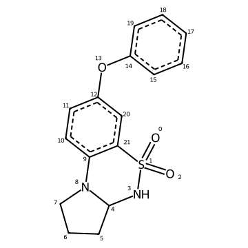 O=S1(=O)NC2CCCN2c2ccc(Oc3ccccc3)cc21